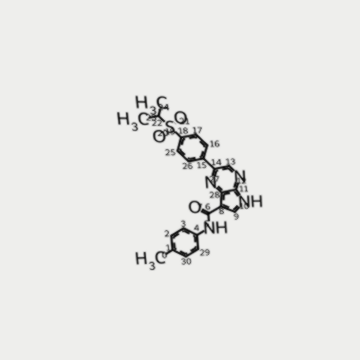 Cc1ccc(NC(=O)c2c[nH]c3ncc(-c4ccc(S(=O)(=O)C(C)C)cc4)nc23)cc1